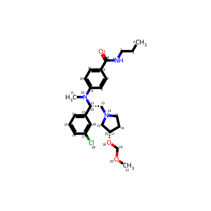 CCCNC(=O)c1ccc(N(C)[C@H](CN2CC[C@H](OCOC)C2)c2cccc(Cl)c2)cc1